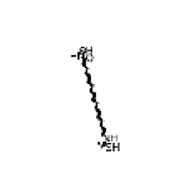 O=C(CCCCCCCCCCCCCCCCCNC(=S)S)NO